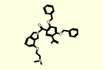 C=C(C)c1cc(C(=O)N2Cc3cccc(OCCN(C)C)c3C2)c(OCc2ccccc2)cc1OCc1ccccc1